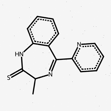 CC1N=C(c2ccccn2)c2ccccc2NC1=S